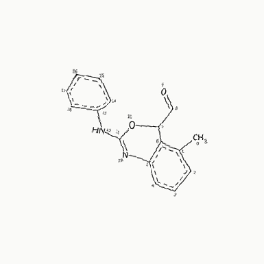 Cc1cccc2c1C(C=O)OC(Nc1ccccc1)=N2